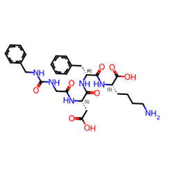 NCCCC[C@H](NC(=O)[C@@H](Cc1ccccc1)NC(=O)[C@H](CC(=O)O)NC(=O)CNC(=O)NCc1ccccc1)C(=O)O